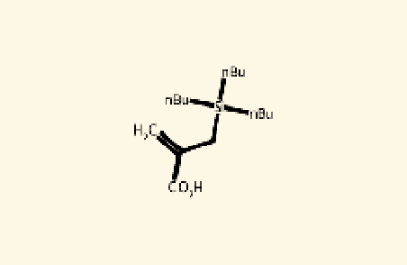 C=C(C[Si](CCCC)(CCCC)CCCC)C(=O)O